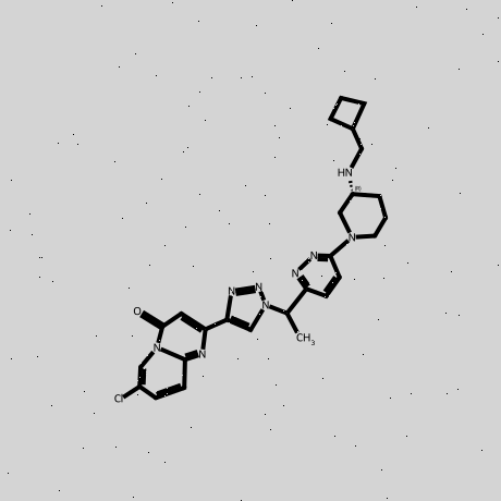 CC(c1ccc(N2CCC[C@@H](NCC3CCC3)C2)nn1)n1cc(-c2cc(=O)n3cc(Cl)ccc3n2)nn1